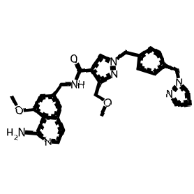 COCc1nn(Cc2ccc(Cn3cccn3)cc2)cc1C(=O)NCc1cc(OC)c2c(N)nccc2c1